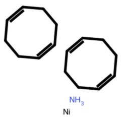 C1=C\CC/C=C\CC/1.C1=C\CC/C=C\CC/1.N.[Ni]